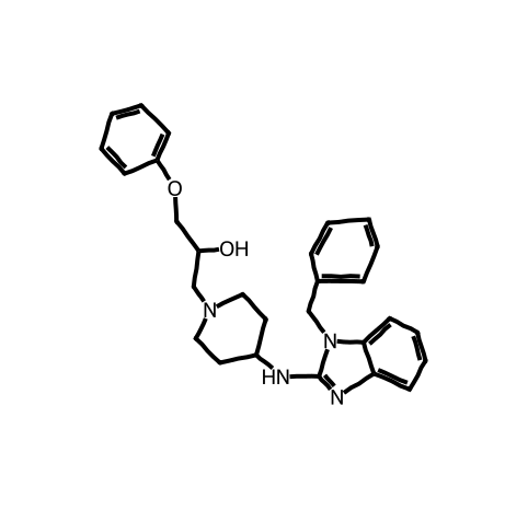 OC(COc1ccccc1)CN1CCC(Nc2nc3ccccc3n2Cc2ccccc2)CC1